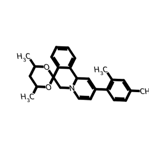 Cc1ccc(C2=CC3c4ccccc4C4(CN3C=C2)OC(C)CC(C)O4)c(C)c1